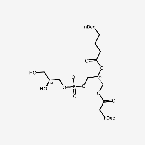 CCCCCCCCCCCCCC(=O)O[C@H](COC(=O)CCCCCCCCCCC)COP(=O)(O)OC[C@@H](O)CO